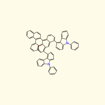 c1ccc(-c2c(-c3c4cccc(-c5cccc6c5c5ccccc5n6-c5ccccc5)c4cc4c(-c5cccc6c5c5ccccc5n6-c5ccccc5)cccc34)ccc3ccccc23)cc1